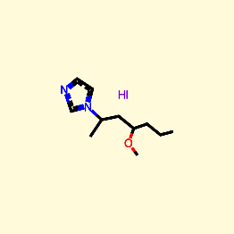 CCCC(CC(C)n1ccnc1)OC.I